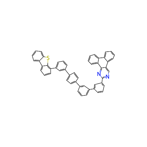 c1cc(-c2ccc(-c3cccc(-c4cccc5c4sc4ccccc45)c3)cc2)cc(-c2cccc(-c3ncc4c5ccccc5c5ccccc5c4n3)c2)c1